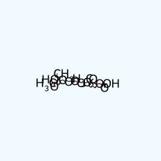 CCCc1c(OCCOCCOCCOCCOc2ccc3ccc(OCCC(=O)O)cc3c2C(C)=O)ccc(C(C)=O)c1O